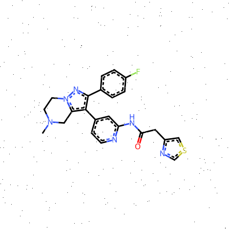 CN1CCn2nc(-c3ccc(F)cc3)c(-c3ccnc(NC(=O)Cc4cscn4)c3)c2C1